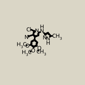 COc1cc(-c2cc(Nc3cc(C)[nH]n3)nc(Cl)c2C#N)cc(OC)c1OC